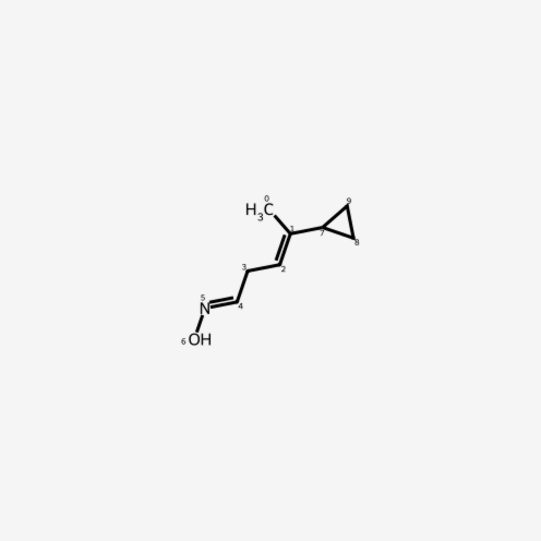 CC(=CCC=NO)C1CC1